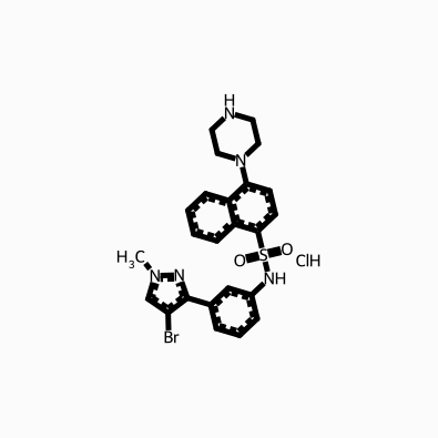 Cl.Cn1cc(Br)c(-c2cccc(NS(=O)(=O)c3ccc(N4CCNCC4)c4ccccc34)c2)n1